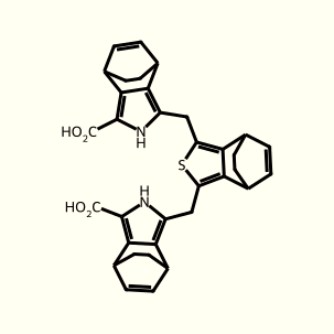 O=C(O)c1[nH]c(Cc2sc(Cc3[nH]c(C(=O)O)c4c3C3C=CC4CC3)c3c2C2C=CC3CC2)c2c1C1C=CC2CC1